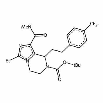 CCc1nc(C(=O)NC)c2n1CCN(C(=O)OC(C)(C)C)C2CCc1ccc(C(F)(F)F)cc1